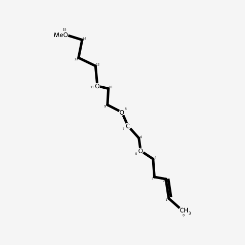 CC=CCCOCCOCCOCCCOC